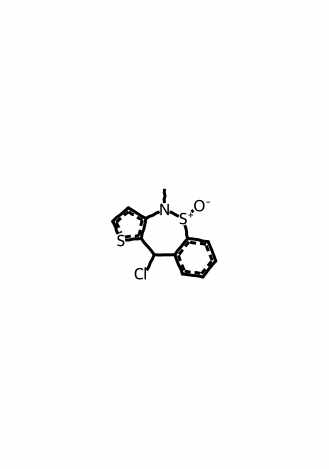 CN1c2ccsc2C(Cl)c2ccccc2[S+]1[O-]